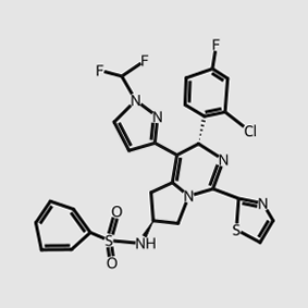 O=S(=O)(N[C@H]1CC2=C(c3ccn(C(F)F)n3)[C@H](c3ccc(F)cc3Cl)N=C(c3nccs3)N2C1)c1ccccc1